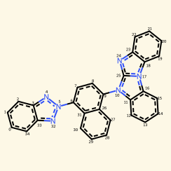 c1ccc2nn(-c3ccc(-n4c5ccccc5n5c6ccccc6nc45)c4ccccc34)nc2c1